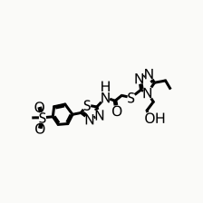 CCc1nnc(SCC(=O)Nc2nnc(-c3ccc(S(C)(=O)=O)cc3)s2)n1CCO